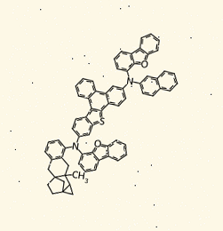 CC12Cc3c(cccc3N(c3ccc4c(c3)sc3c5ccc(N(c6ccc7ccccc7c6)c6cccc7c6oc6ccccc67)cc5c5ccccc5c43)c3cccc4c3oc3ccccc34)CC13CCC1(CC12)C3